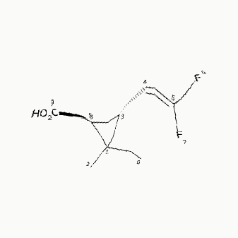 CC1(C)[C@@H](C=C(F)F)[C@@H]1C(=O)O